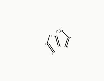 C=C.C=CC.C=CCCCC